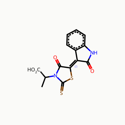 CC(C(=O)O)N1C(=O)/C(=C2/C(=O)Nc3ccccc32)SC1=S